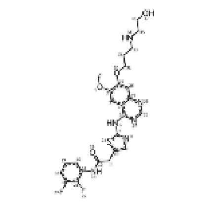 COc1cc2c(Nc3ncc(CC(=O)Nc4cccc(F)c4F)s3)ncnc2cc1OCCCNCCO